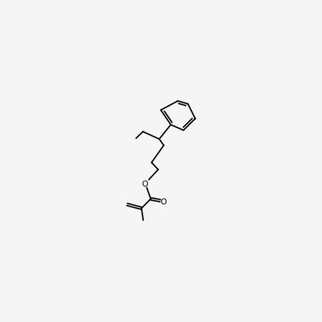 C=C(C)C(=O)OCCCC(CC)c1ccccc1